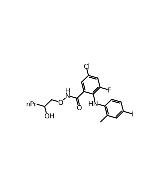 CCCC(O)CONC(=O)c1cc(Cl)cc(F)c1Nc1ccc(I)cc1C